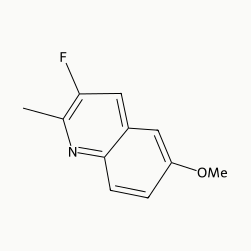 COc1ccc2nc(C)c(F)cc2c1